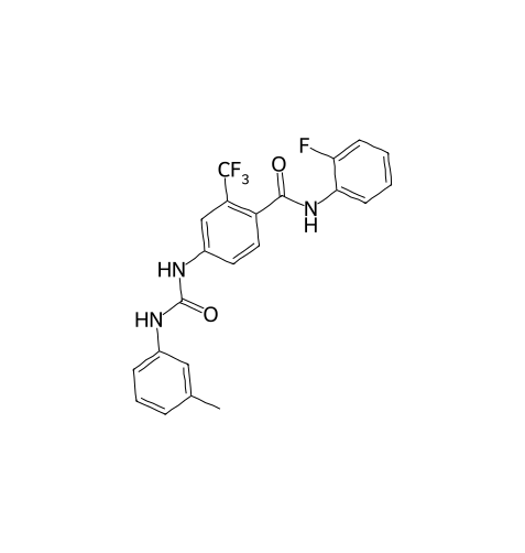 Cc1cccc(NC(=O)Nc2ccc(C(=O)Nc3ccccc3F)c(C(F)(F)F)c2)c1